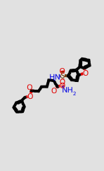 NOC(=O)C(CCCCC(=O)OCc1ccccc1)NS(=O)(=O)c1ccc2oc3ccccc3c2c1